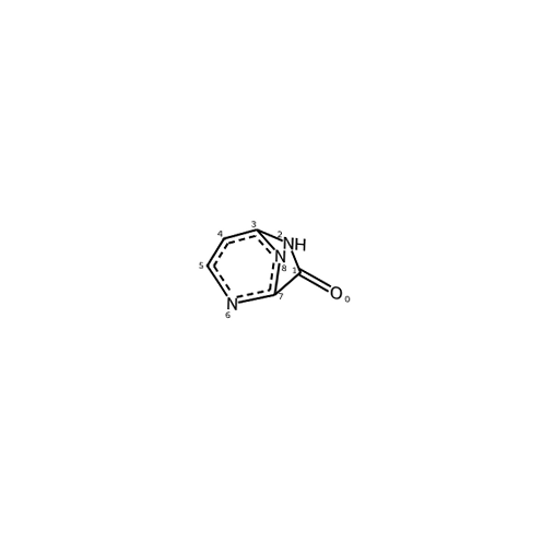 O=C1Nc2ccnc1n2